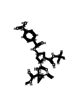 C=C[C@@H]1C[C@]1(NC(=O)[C@@H]1C[C@@H](OC(=O)c2ccc([N+](=O)[O-])cc2)CN1C(=O)OC(C)(C)C)C(=O)OC